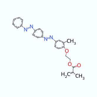 C=C(C)C(=O)OCCOc1ccc(/N=N/c2ccc(/N=N/c3ccccc3)cc2)cc1C